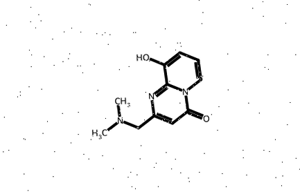 CN(C)Cc1cc(=O)n2cccc(O)c2n1